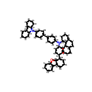 c1ccc2c(c1)ccc1cccc(N(c3ccc(-c4ccc(-n5c6ccccc6c6ccccc65)cc4)cc3)c3ccc(-c4cccc5c4oc4ccccc45)cc3)c12